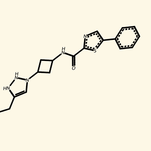 O=C(NC1CC(N2C=C(CO)NN2)C1)c1ncc(-c2ccccc2)s1